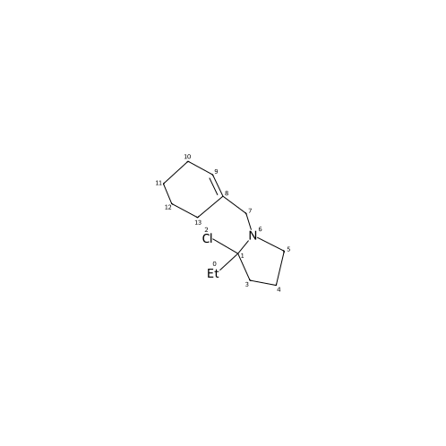 CCC1(Cl)CCCN1CC1=CCCCC1